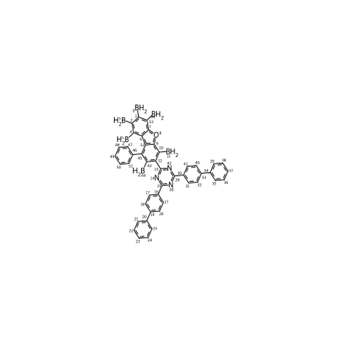 Bc1c(B)c(B)c2c(oc3c(B)c(-c4nc(-c5ccc(-c6ccccc6)cc5)nc(-c5ccc(-c6ccccc6)cc5)n4)c(B)c(-c4ccccc4)c32)c1B